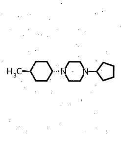 C[C@H]1CC[C@H](N2CCN(C3CCCC3)CC2)CC1